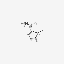 C[C@@H](N)c1ccnn1C